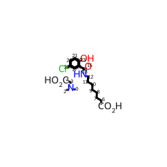 CN(C)CC(=O)O.O=C(O)CCCCCCCNC(=O)c1cc(Cl)ccc1O